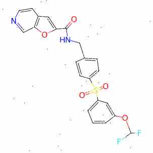 O=C(NCc1ccc(S(=O)(=O)c2cccc(OC(F)F)c2)cc1)c1cc2ccncc2o1